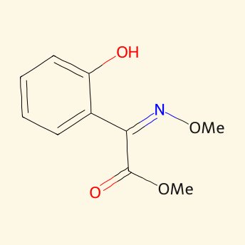 CON=C(C(=O)OC)c1ccccc1O